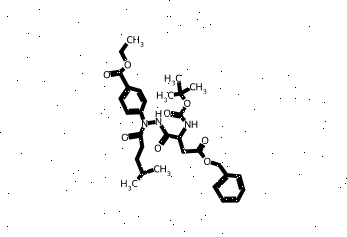 CCOC(=O)c1ccc(N(NC(=O)C(CC(=O)OCc2ccccc2)NC(=O)OC(C)(C)C)C(=O)CCC(C)C)cc1